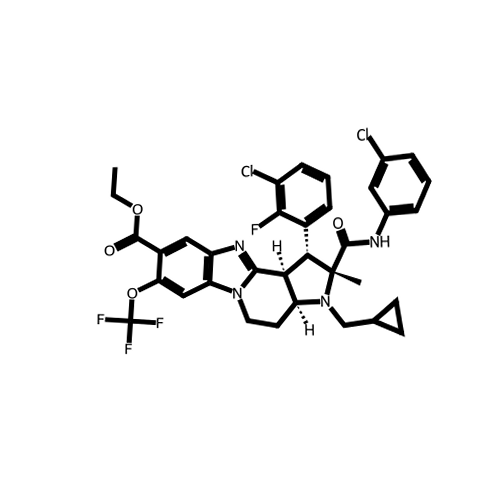 CCOC(=O)c1cc2nc3n(c2cc1OC(F)(F)F)CC[C@H]1[C@@H]3[C@H](c2cccc(Cl)c2F)[C@](C)(C(=O)Nc2cccc(Cl)c2)N1CC1CC1